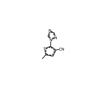 Cc1cc(C#N)c(-n2cncn2)s1